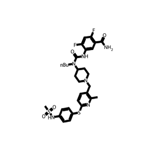 CCCCN(C(=O)Nc1cc(C(N)=O)c(F)cc1F)C1CCN(Cc2ccc(Sc3ccc(NS(C)(=O)=O)cc3)nc2C)CC1